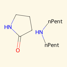 CCCCCNCCCCC.O=C1CCCN1